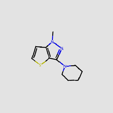 Cn1nc(N2CCCCC2)c2sccc21